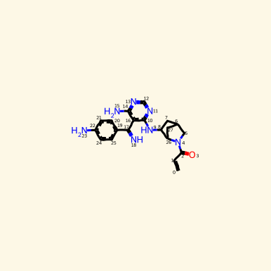 C=CC(=O)N1CC2CC(Nc3ncnc(N)c3C(=N)c3ccc(N)cc3)C1C2